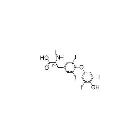 O=C(O)[C@H](Cc1cc(I)c(Oc2cc(I)c(O)c(I)c2)c(I)c1)N(I)I